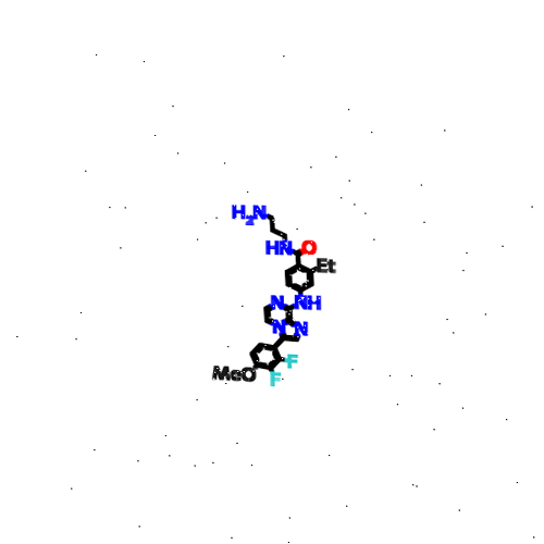 CCc1cc(Nc2nccn3c(-c4ccc(OC)c(F)c4F)cnc23)ccc1C(=O)NCCCN